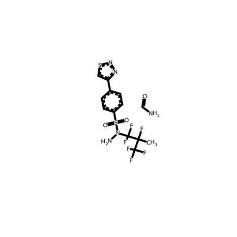 CC(F)(C(F)(F)F)C(F)(F)N(N)S(=O)(=O)c1ccc(-c2csnn2)cc1.NC=O